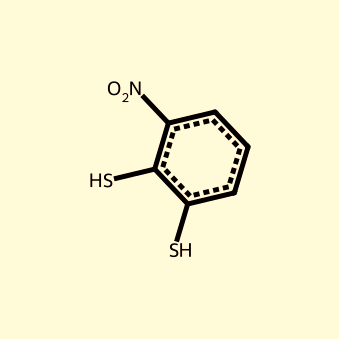 O=[N+]([O-])c1cccc(S)c1S